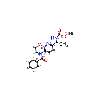 CC(NC(=O)OC(C)(C)C)c1ccc2c(n1)OCCN2C(=O)c1ccccc1